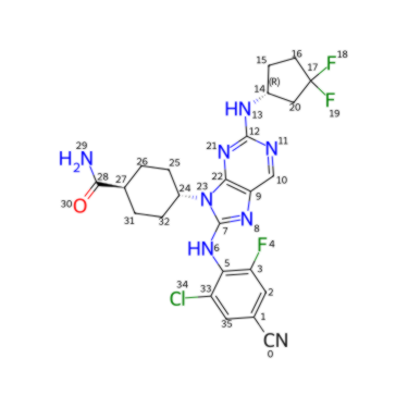 N#Cc1cc(F)c(Nc2nc3cnc(N[C@@H]4CCC(F)(F)C4)nc3n2[C@H]2CC[C@H](C(N)=O)CC2)c(Cl)c1